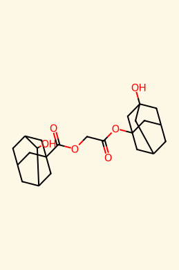 O=C(COC(=O)C12CC3CC(C1)C(O)C(C3)C2)OC12CC3CC(CC(O)(C3)C1)C2